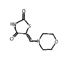 O=C1NC(=O)C(=CN2CCOCC2)S1